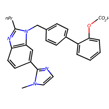 CCCc1nc2ccc(-c3nccn3C)cc2n1Cc1ccc(-c2ccccc2OC(=O)O)cc1